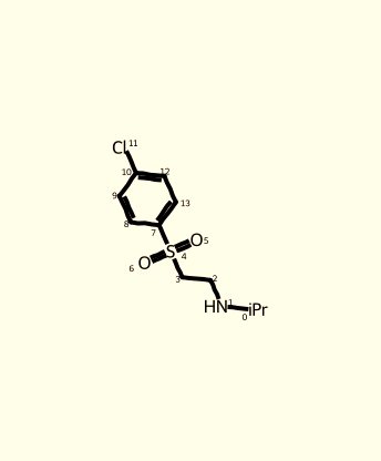 CC(C)NCCS(=O)(=O)c1ccc(Cl)cc1